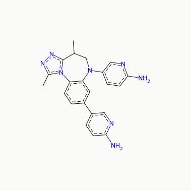 Cc1nnc2n1-c1ccc(-c3ccc(N)nc3)cc1N(c1ccc(N)nc1)CC2C